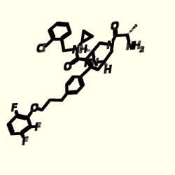 C[C@H](N)C(=O)N1C[C@H]2CC(c3ccc(CCCOc4c(F)ccc(F)c4F)cc3)=C(C(=O)N(Cc3ccccc3Cl)C3CC3)[C@@H](C1)N2